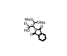 CC[C@H](O)[C@@H](C(OC)OC)N1C(=O)c2ccccc2C1=O